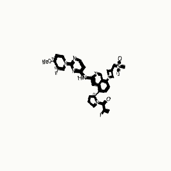 C=C(F)C(=O)N1CCC[C@H]1c1ccc(N2CC(CS(C)(=O)=O)C2)c2cnc(Nc3ccnc(N4CC[C@@H](OC)[C@@H](F)C4)n3)cc12